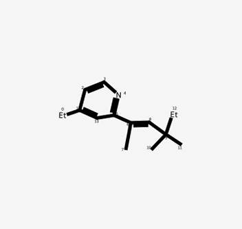 CCc1ccnc(/C(C)=C/C(C)(C)CC)c1